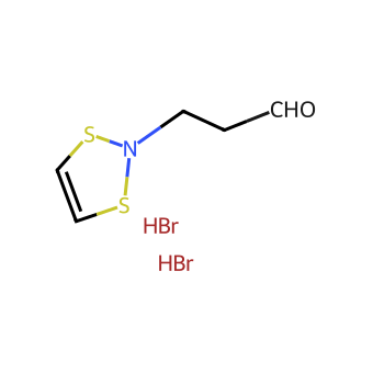 Br.Br.O=CCCN1SC=CS1